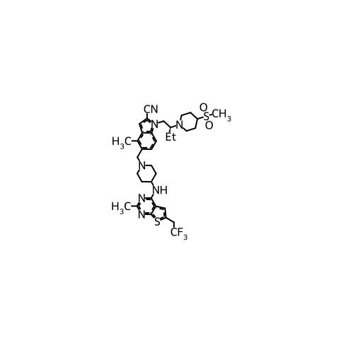 CC[C@@H](Cn1c(C#N)cc2c(C)c(CN3CCC(Nc4nc(C)nc5sc(CC(F)(F)F)cc45)CC3)ccc21)N1CCC(S(C)(=O)=O)CC1